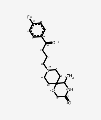 CC1NC(=O)COC12CCN(CCCC(=O)c1ccc(F)cc1)CC2